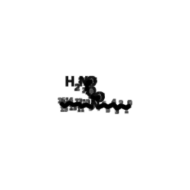 CCCCCCCCN(CCCCCCCC)C(=O)COCC(N)=O